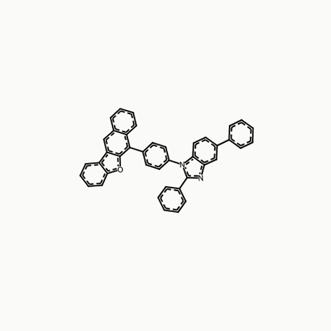 c1ccc(-c2ccc3c(c2)nc(-c2ccccc2)n3-c2ccc(-c3c4ccccc4cc4c3oc3ccccc34)cc2)cc1